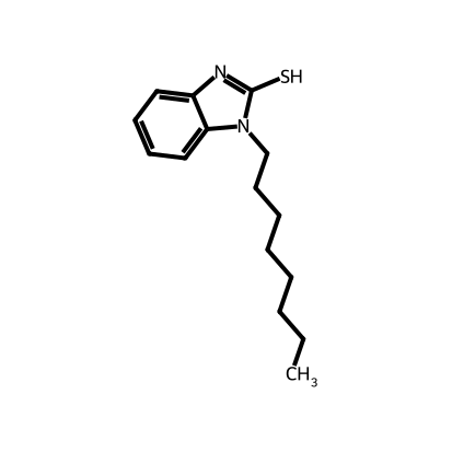 CCCCCCCCn1c(S)nc2ccccc21